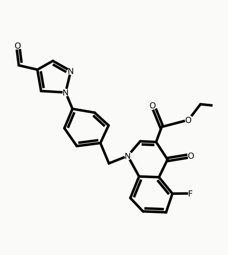 CCOC(=O)c1cn(Cc2ccc(-n3cc(C=O)cn3)cc2)c2cccc(F)c2c1=O